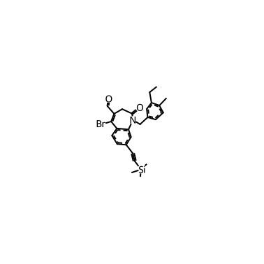 CCc1cc(CN2C(=O)CC(C=O)=C(Br)c3ccc(C#C[Si](C)(C)C)cc32)ccc1C